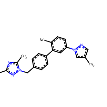 Cc1cnn(-c2ccc(C#N)c(-c3ccc(Cn4nc(C)nc4C)cc3)c2)c1